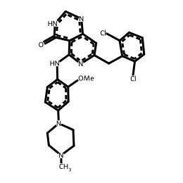 COc1cc(N2CCN(C)CC2)ccc1Nc1nc(Cc2c(Cl)cccc2Cl)cc2nc[nH]c(=O)c12